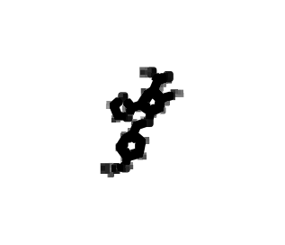 COc1ccc(COc2cc(F)c(C(=O)O)cc2C2OCCO2)cc1